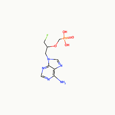 Nc1ncnc2c1ncn2CC(CF)OCP(=O)(O)O